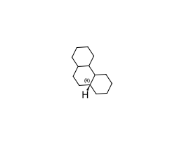 C1CCC2C(C1)CC[C@H]1CCCCC21